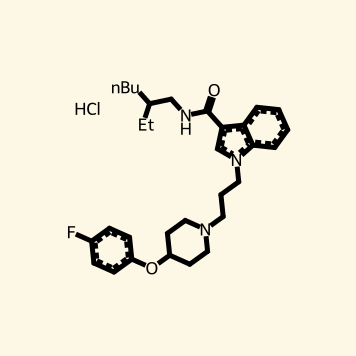 CCCCC(CC)CNC(=O)c1cn(CCCN2CCC(Oc3ccc(F)cc3)CC2)c2ccccc12.Cl